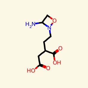 NC1CON1CCC(CC(=O)O)C(=O)O